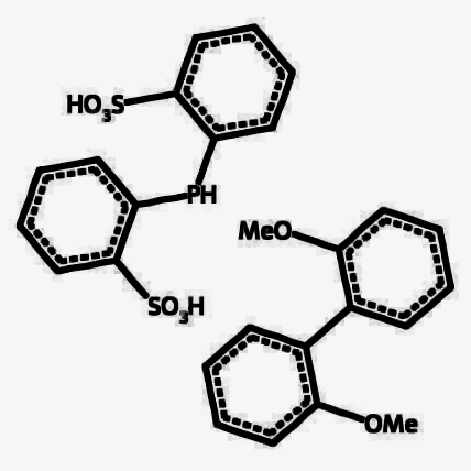 COc1ccccc1-c1ccccc1OC.O=S(=O)(O)c1ccccc1Pc1ccccc1S(=O)(=O)O